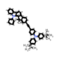 CC1(C)c2cc(C#Cc3ccc(N(c4ccc([Si](C)(C)C)cc4)c4ccc([Si](C)(C)C)cc4)cc3)ccc2-c2ccc3c4ccccc4n(-c4ccccc4)c3c21